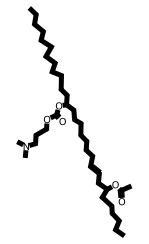 CCCCCCCCCCCCC(CCCCCCCC=CCC(CCCCCC)OC(C)=O)OC(=O)OCCCN(C)C